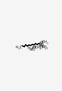 CCCCCCCCC(CCC[Si](OC)(OC)OC)N(C)C.Cl